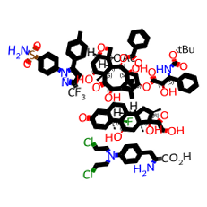 CC(=O)O[C@@]12CO[C@@H]1C[C@H](O)[C@@]1(C)C(=O)[C@H](O)C3=C(C)[C@@H](OC(=O)[C@H](O)[C@@H](NC(=O)OC(C)(C)C)c4ccccc4)C[C@@](O)([C@@H](OC(=O)c4ccccc4)[C@H]21)C3(C)C.C[C@@H]1C[C@H]2[C@@H]3CCC4=CC(=O)C=C[C@]4(C)[C@@]3(F)[C@@H](O)C[C@]2(C)[C@@]1(O)C(=O)CO.Cc1ccc(-c2cc(C(F)(F)F)nn2-c2ccc(S(N)(=O)=O)cc2)cc1.NC(Cc1ccc(N(CCCl)CCCl)cc1)C(=O)O